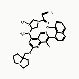 C=CC(=O)N1CC(N(C)c2nc(OCC34CCCN3CCC4)nc3c(F)c(-c4cccc5cccc(Cl)c45)ncc23)[C@@H](C)C1